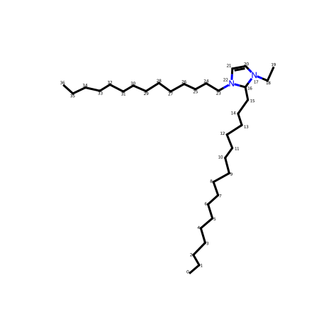 CCCCCCCCCCCCCCCCC1N(CC)C=CN1CCCCCCCCCCCCCC